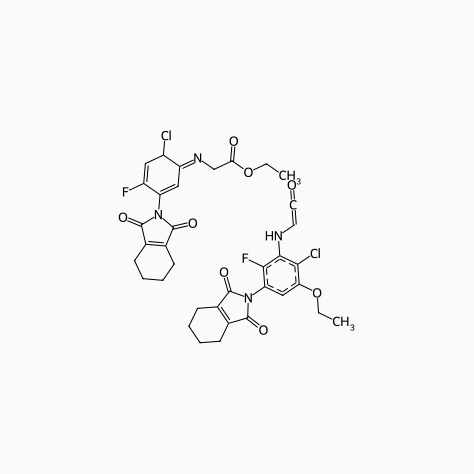 CCOC(=O)CN=C1C=C(N2C(=O)C3=C(CCCC3)C2=O)C(F)=CC1Cl.CCOc1cc(N2C(=O)C3=C(CCCC3)C2=O)c(F)c(NC=C=O)c1Cl